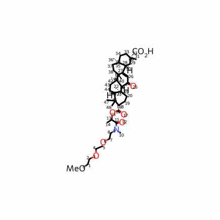 COCCOCCOCCN(C)C(=O)C(C)OC(=O)[C@H]1CC[C@]2(C)[C@H]3C(=O)C=C4[C@@H]5C[C@@](C)(C(=O)O)CC[C@]5(C)CC[C@@]4(C)[C@]3(C)CC[C@H]2C1(C)C